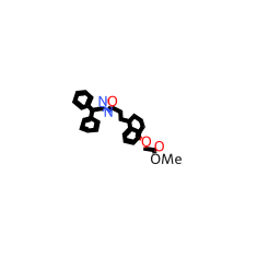 COC(=O)COc1cccc2c1CCCC2CCc1nc(C(c2ccccc2)c2ccccc2)no1